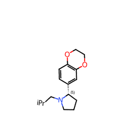 CC(C)CN1CCC[C@H]1c1ccc2c(c1)OCCO2